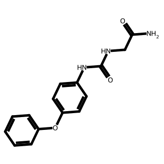 NC(=O)CNC(=O)Nc1ccc(Oc2ccccc2)cc1